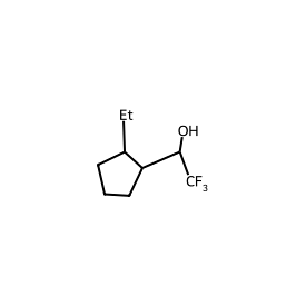 CCC1CCCC1C(O)C(F)(F)F